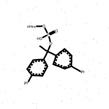 CCCCCCOP(=O)(O)OC(C)(c1ccc(C(C)C)cc1)c1ccc(C(C)C)cc1